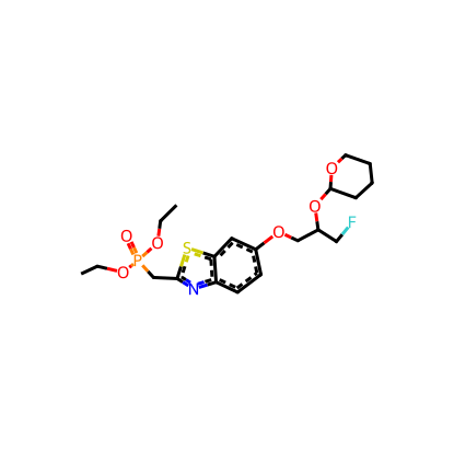 CCOP(=O)(Cc1nc2ccc(OCC(CF)OC3CCCCO3)cc2s1)OCC